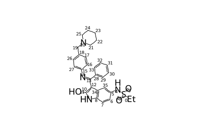 CCS(=O)(=O)Nc1ccc2[nH]c(O)c(C(=Nc3ccc(CN4CCCCC4)cc3)c3ccccc3)c2c1